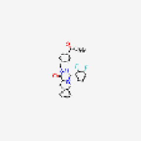 COC(=O)c1ccc(CNC(=O)[C@@H]2Cc3ccccc3CN2[C@H](C)c2cccc(F)c2F)cc1